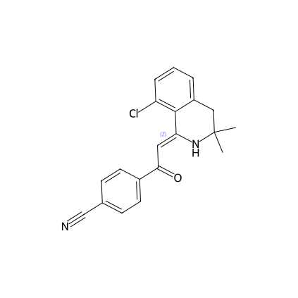 CC1(C)Cc2cccc(Cl)c2/C(=C/C(=O)c2ccc(C#N)cc2)N1